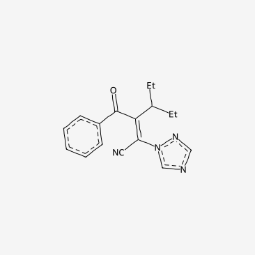 CCC(CC)C(C(=O)c1ccccc1)=C(C#N)n1cncn1